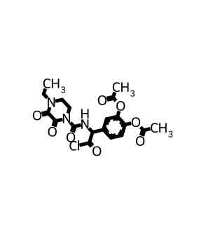 CCN1CCN(C(=O)NC(C(=O)Cl)c2ccc(OC(C)=O)c(OC(C)=O)c2)C(=O)C1=O